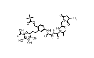 CC(C)[C@H](NC(=O)CN1C(=O)CC(P)C1=O)C(=O)N[C@@H](C)C(=O)Nc1ccc(COC(=O)C(C)(C)C)c(CCC2O[C@H](C(=O)O)[C@@H](O)[C@H](O)[C@H]2O)c1